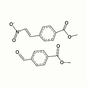 COC(=O)c1ccc(C=C[N+](=O)[O-])cc1.COC(=O)c1ccc(C=O)cc1